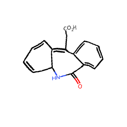 O=C(O)C1=C2C=CC=CC2NC(=O)c2ccccc21